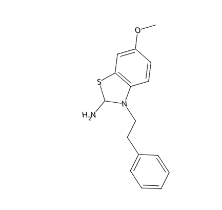 COc1ccc2c(c1)SC(N)N2CCc1ccccc1